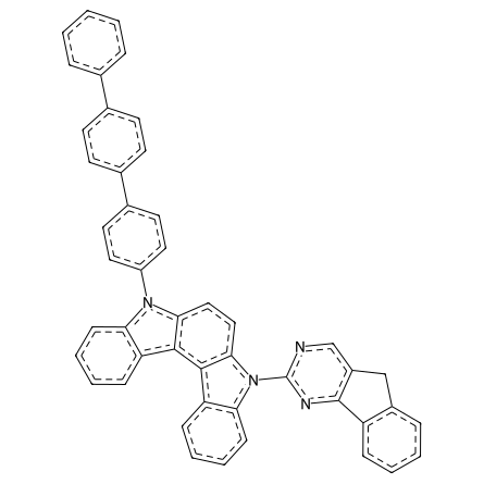 c1ccc(-c2ccc(-c3ccc(-n4c5ccccc5c5c6c7ccccc7n(-c7ncc8c(n7)-c7ccccc7C8)c6ccc54)cc3)cc2)cc1